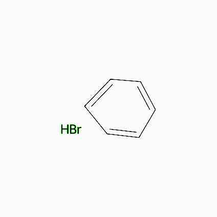 Br.c1ccccc1